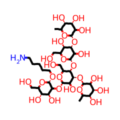 CC1O[C@@H](O[C@@H]2C(O)[C@H](O[C@@H]3C(CO)O[C@H](OC4[C@@H](OCCCCCN)OC(CO)[C@@H](O)[C@@H]4O)C(O)[C@H]3O[C@@H]3OC(C)[C@H](O)[C@H](O)C3O)OC(CO)[C@H]2O)C(O)[C@@H](O)[C@H]1O